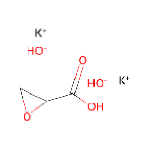 O=C(O)C1CO1.[K+].[K+].[OH-].[OH-]